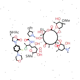 CC(=O)NC[C@H]1CN(c2ccc(N3CCOCC3)c(F)c2)C(=O)O1.CCC[C@@H]1C[C@@H](C(=O)N[C@@H]([C@H]2O[C@H](SC)[C@H](O)[C@@H](O)[C@H]2O)[C@H](C)Cl)N(C)C1.CC[C@H]1OC(=O)[C@H](C)[C@@H](O[C@H]2C[C@@](C)(OC)[C@@H](O)[C@H](C)O2)[C@H](C)[C@@H](O[C@@H]2O[C@H](C)C[C@H](N(C)C)[C@H]2O)[C@](C)(O)C[C@@H](C)C(=O)[C@H](C)[C@@H](O)[C@]1(C)O